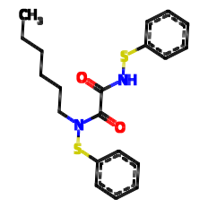 CCCCCCN(Sc1ccccc1)C(=O)C(=O)NSc1ccccc1